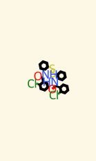 O=C(Nc1ccccc1SSc1ccccc1NC(=O)c1ccccc1Cl)c1ccccc1Cl